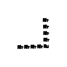 [Rh].[Rh].[Rh].[Rh].[Rh].[Rh].[Rh].[Rh].[Ru]